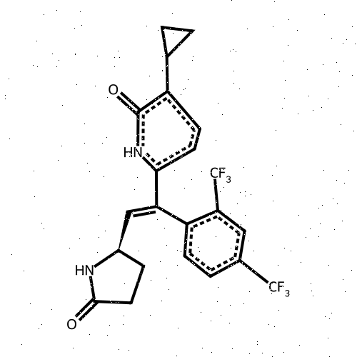 O=C1CC[C@H](C=C(c2ccc(C3CC3)c(=O)[nH]2)c2ccc(C(F)(F)F)cc2C(F)(F)F)N1